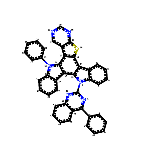 c1ccc(-c2nc(-n3c4ccccc4c4c5sc6ncncc6c5c5c(c6ccccc6n5-c5ccccc5)c43)nc3ccccc23)cc1